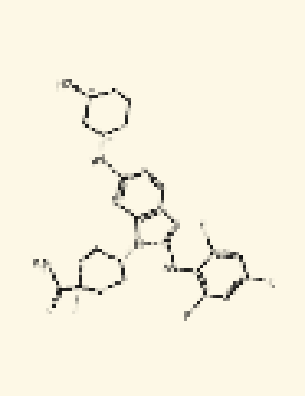 C[C@]1(C(N)=O)CC[C@H](n2c(Nc3c(F)cc(Cl)cc3F)nc3cnc(N[C@H]4CCC[C@H](O)C4)nc32)CC1